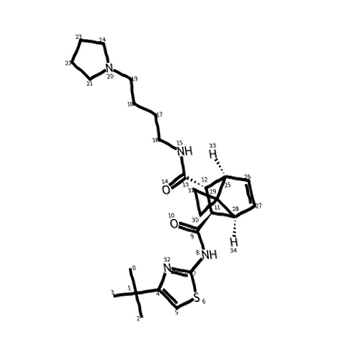 CC(C)(C)c1csc(NC(=O)[C@H]2[C@H](C(=O)NCCCCN3CCCC3)[C@H]3C=C[C@@H]2C32CC2)n1